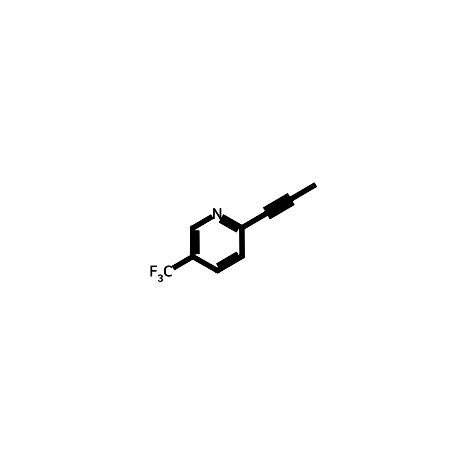 CC#Cc1ccc(C(F)(F)F)cn1